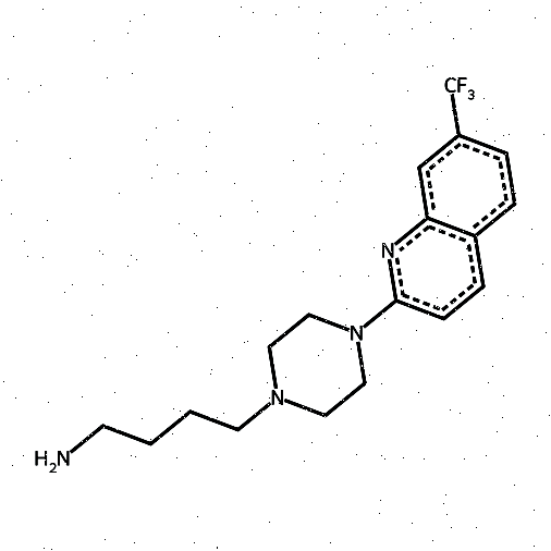 NCCCCN1CCN(c2ccc3ccc(C(F)(F)F)cc3n2)CC1